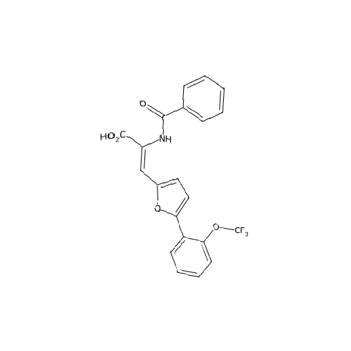 O=C(O)/C(=C/c1ccc(-c2ccccc2OC(F)(F)F)o1)NC(=O)c1ccccc1